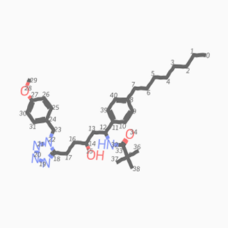 CCCCCCCCc1ccc(C(CC(O)CCc2nnnn2Cc2ccc(OC)cc2)NC(=O)C(C)(C)C)cc1